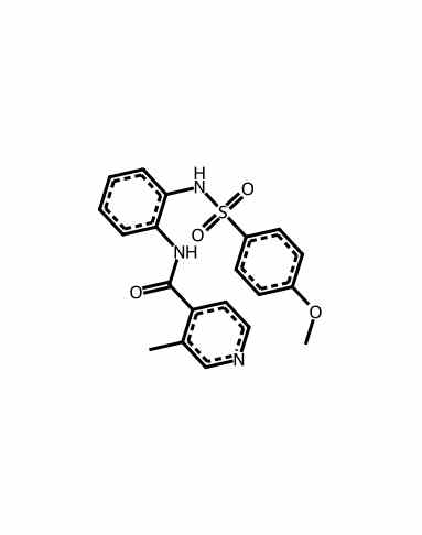 COc1ccc(S(=O)(=O)Nc2ccccc2NC(=O)c2ccncc2C)cc1